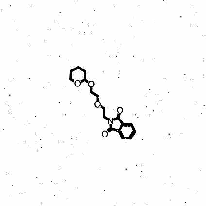 O=C1c2ccccc2C(=O)N1CCOCCOC1CCCCO1